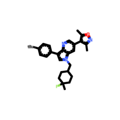 Cc1noc(C)c1-c1cnc2c(-c3ccc(C(C)(C)C)cc3)cn(CC3CCC(C)(F)CC3)c2c1